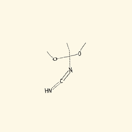 COC(C)(N=C=N)OC